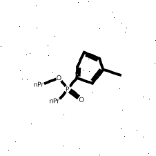 CCCOP(=O)(CCC)c1cccc(C)c1